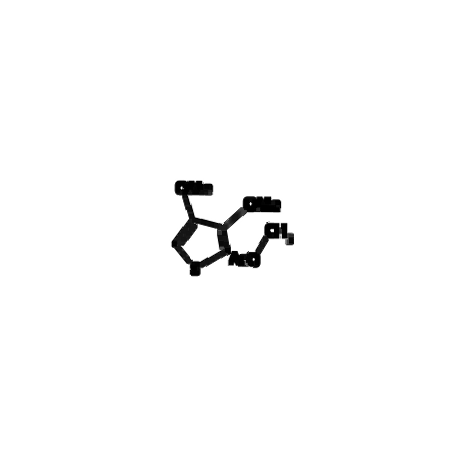 COC(C)=O.COc1cscc1OC